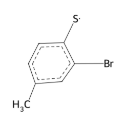 Cc1ccc([S])c(Br)c1